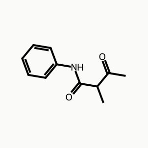 CC(=O)C(C)C(=O)Nc1ccccc1